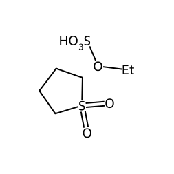 CCOS(=O)(=O)O.O=S1(=O)CCCC1